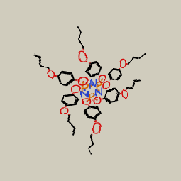 CCCCOc1ccc(OP2(Oc3ccc(OCCCC)cc3)=NP(Oc3ccc(OCCCC)cc3)(Oc3ccc(OCCCC)cc3)=NP(Oc3ccc(OCCCC)cc3)(Oc3ccc(OCCCC)cc3)=N2)cc1